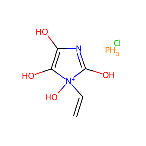 C=C[N+]1(O)C(O)=NC(O)=C1O.P.[Cl-]